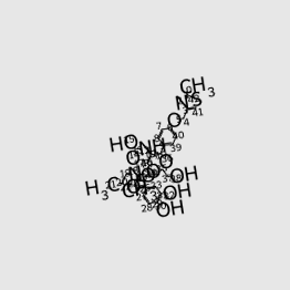 Cc1nc(COc2ccc(C[C@H](NC(=O)O)[C@@H](CN(CC(C)C)S(=O)(=O)c3ccc(O)c(O)c3)OC(=O)CO)cc2)cs1